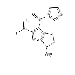 C[S+]([O-])c1cc2n(c1C(=O)c1ccoc1)CCC2C(=O)O